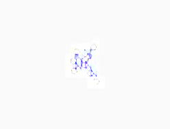 C1=CCCC(n2c3ccccc3c3ccc4c5ccccc5n(-c5cc(-c6ccc(-c7ccccc7)nc6)nc(-c6ccc(-c7ccccc7)nc6)c5)c4c32)=C1